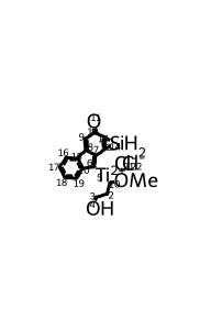 CO[CH](CCO)[Ti+2][C]1=C2C(=CC(=O)C3=C2[SiH2]3)c2ccccc21.[Cl-].[Cl-]